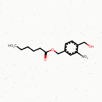 O=C(O)CCCCC(=O)OCc1ccc(CO)c([N+](=O)[O-])c1